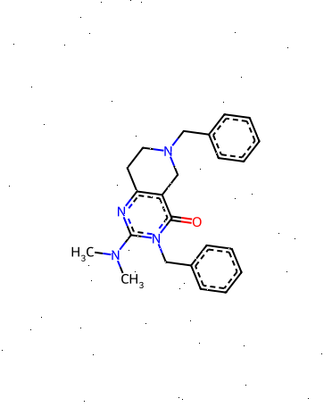 CN(C)c1nc2c(c(=O)n1Cc1ccccc1)CN(Cc1ccccc1)CC2